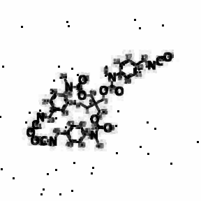 CCC(COC(=O)N(C)c1ccc(CN=C=O)cc1)(COC(=O)N(C)c1ccc(CN=C=O)cc1)COC(=O)N(C)c1ccc(CN=C=O)cc1